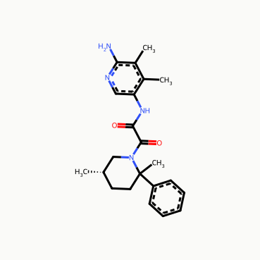 Cc1c(NC(=O)C(=O)N2C[C@@H](C)CCC2(C)c2ccccc2)cnc(N)c1C